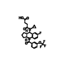 O=C(O)CCC(=O)N(C1CC1)[C@H]1c2cc(F)ccc2N(C(=O)c2cccc(OC(F)(F)F)c2)[C@H]2CCC[C@H]21